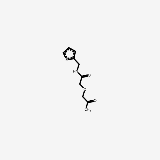 CC(=O)COCC(=O)NCc1cccs1